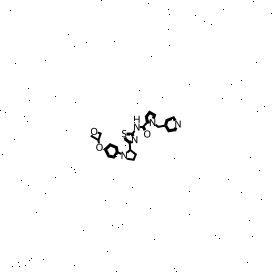 O=C(Nc1nc(C2CCCN2c2ccc(OC3COC3)cc2)cs1)c1cccn1Cc1ccncc1